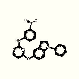 O=[N+]([O-])c1cccc(Nc2nccc(Oc3ccc4c(ccn4-c4ccccc4)c3)n2)c1